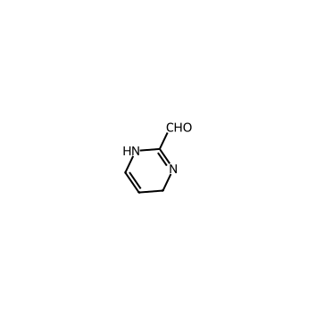 O=CC1=NCC=CN1